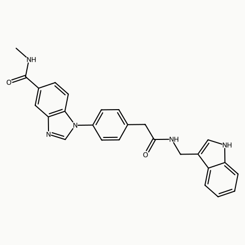 CNC(=O)c1ccc2c(c1)ncn2-c1ccc(CC(=O)NCc2c[nH]c3ccccc23)cc1